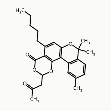 CCCCCc1cc2c(c3c1C(=O)OC(CC(C)=O)O3)-c1cc(C)ccc1C(C)(C)O2